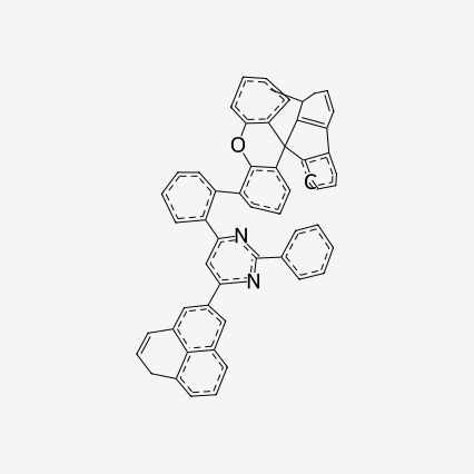 CC1CC=CC2=C1C1(c3ccccc3Oc3c(-c4ccccc4-c4cc(-c5cc6c7c(cccc7c5)CC=C6)nc(-c5ccccc5)n4)cccc31)c1ccccc12